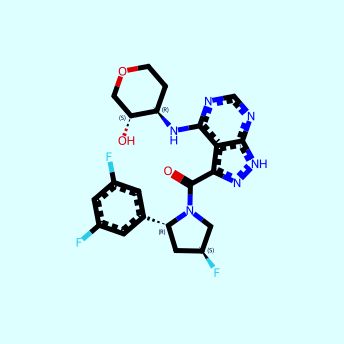 O=C(c1n[nH]c2ncnc(N[C@@H]3CCOC[C@H]3O)c12)N1C[C@@H](F)C[C@@H]1c1cc(F)cc(F)c1